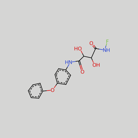 O=C(NF)C(O)C(O)C(=O)Nc1ccc(Oc2ccccc2)cc1